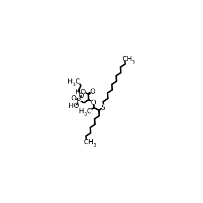 CCCCCCCCCCCSC(CCCCCCC)C(C)OC(CP(=O)(O)OCCC)C(=O)O